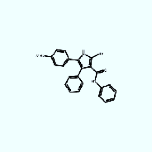 COc1ccc(-c2[nH]c(C(C)C)c(C(=O)Nc3ccccc3)c2-c2ccccc2)cc1